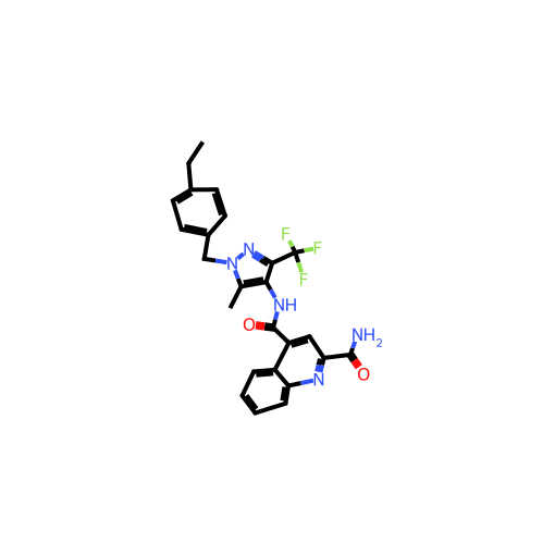 CCc1ccc(Cn2nc(C(F)(F)F)c(NC(=O)c3cc(C(N)=O)nc4ccccc34)c2C)cc1